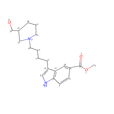 COC(=O)c1ccc2[nH]cc(CCCCN3CCCC(C[O])C3)c2c1